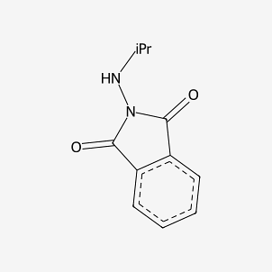 CC(C)NN1C(=O)c2ccccc2C1=O